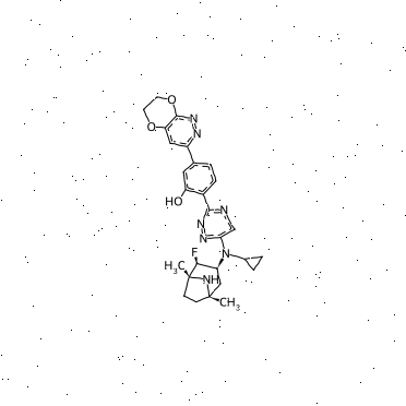 C[C@@]12CC[C@@](C)(N1)[C@@H](F)[C@@H](N(c1cnc(-c3ccc(-c4cc5c(nn4)OCCO5)cc3O)nn1)C1CC1)C2